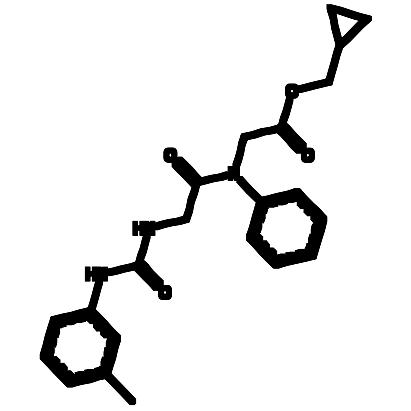 Cc1cccc(NC(=O)NCC(=O)N(CC(=O)OCC2CC2)c2ccccc2)c1